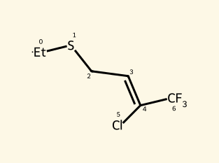 C[CH]SC/C=C(\Cl)C(F)(F)F